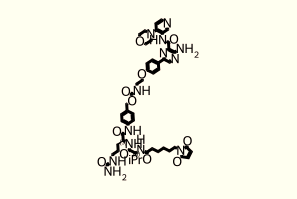 CC(C)[C@H](NC(=O)CCCCCN1C(=O)C=CC1=O)C(=O)N[C@@H](CCCNC(N)=O)C(=O)Nc1ccc(COC(=O)NCCOc2ccc(-c3cnc(N)c(C(=O)Nc4cnccc4N4CCOCC4)n3)cc2)cc1